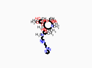 CC[C@H]1OC(=O)[C@H](C)[C@@H](O[C@H]2C[C@@](C)(OC)[C@@H](O)[C@H](C)O2)[C@H](C)[C@@H](O[C@H]2C[C@@H](N(C)CCc3cn(CCCCn4cnc5cccnc54)nn3)C[C@@H](C)O2)[C@](C)(O)C[C@@H](C)CN(C)[C@H](C)[C@@H](O)[C@]1(C)O